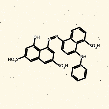 O=S(=O)(O)c1cc(O)c2c(/N=N\c3ccc(Nc4ccccc4)c4c(S(=O)(=O)O)cccc34)cc(S(=O)(=O)O)cc2c1